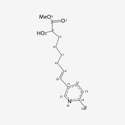 COC(=O)C(O)CCCCC=Cc1ccc(F)nc1